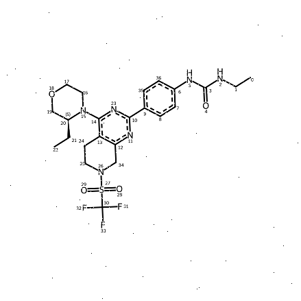 CCNC(=O)Nc1ccc(-c2nc3c(c(N4CCOC[C@@H]4CC)n2)CCN(S(=O)(=O)C(F)(F)F)C3)cc1